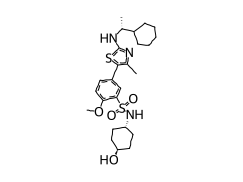 COc1ccc(-c2sc(N[C@H](C)C3CCCCC3)nc2C)cc1S(=O)(=O)N[C@H]1CC[C@H](O)CC1